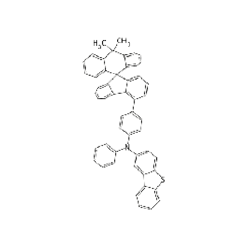 CC1(C)c2ccccc2C2(c3ccccc3-c3c(-c4ccc(N(c5ccccc5)c5ccc6sc7ccccc7c6c5)cc4)cccc32)c2ccccc21